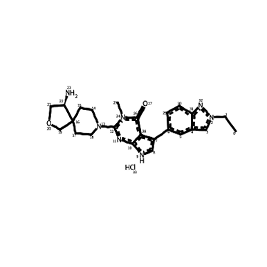 CCn1cc2cc(-c3c[nH]c4nc(N5CCC6(CC5)COC[C@H]6N)n(C)c(=O)c34)ccc2n1.Cl